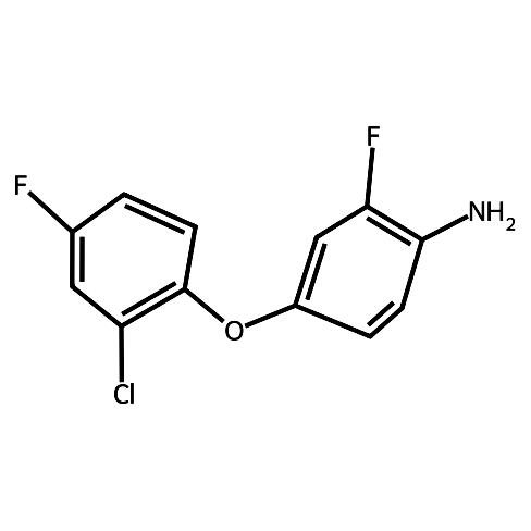 Nc1ccc(Oc2ccc(F)cc2Cl)cc1F